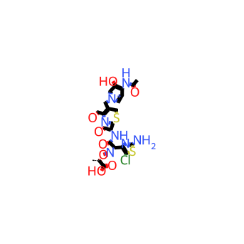 CC(=O)Nc1cc[n+](CC2=C(C=O)N3C(=O)C(NC(=O)/C(=N\O[C@@H](C)C(=O)O)c4nc(N)sc4Cl)C3SC2)cc1O